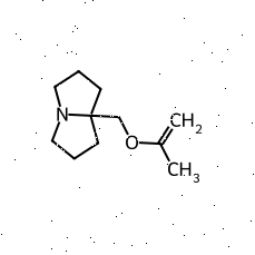 C=C(C)OCC12CCCN1CCC2